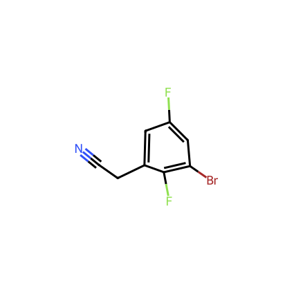 N#CCc1cc(F)cc(Br)c1F